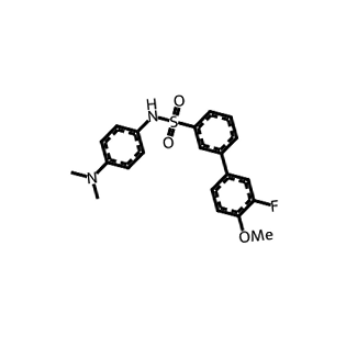 COc1ccc(-c2cccc(S(=O)(=O)Nc3ccc(N(C)C)cc3)c2)cc1F